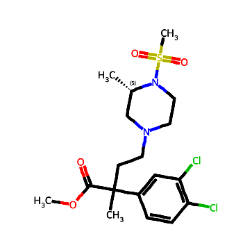 COC(=O)C(C)(CCN1CCN(S(C)(=O)=O)[C@@H](C)C1)c1ccc(Cl)c(Cl)c1